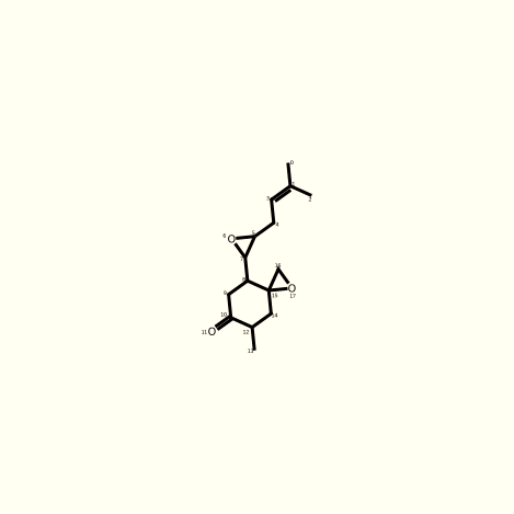 CC(C)=CCC1OC1C1CC(=O)C(C)CC12CO2